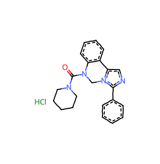 Cl.O=C(N1CCCCC1)N1Cn2c(cnc2-c2ccccc2)-c2ccccc21